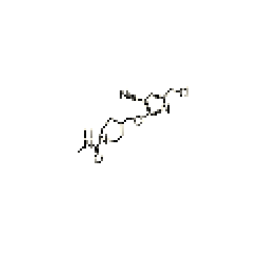 CNC(=O)N1CCC(COc2cnc(CCl)cc2C#N)CC1